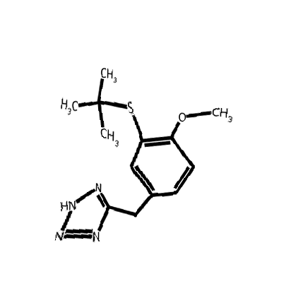 COc1ccc(Cc2nn[nH]n2)cc1SC(C)(C)C